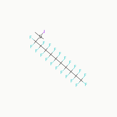 C[Si](C)(I)C(F)(F)C(F)(F)C(F)(F)C(F)(F)C(F)(F)C(F)(F)C(F)(F)C(F)(F)C(F)(F)C(F)(F)F